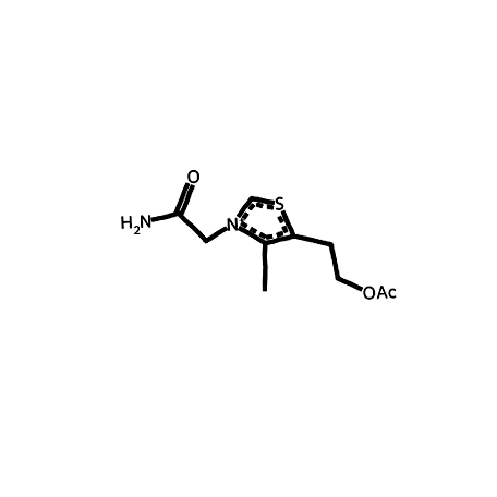 CC(=O)OCCc1sc[n+](CC(N)=O)c1C